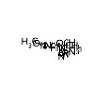 COCCN1CCN(c2ccc(C(=O)NN(CC(C)(C)C)c3cc(C#N)nc4nccn34)cc2)CC1